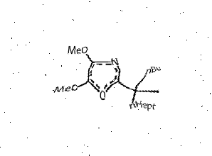 CCCCCCCC(C)(CCCC)c1nc(OC)c(OC)o1